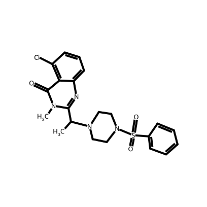 CC(c1nc2cccc(Cl)c2c(=O)n1C)N1CCN(S(=O)(=O)c2ccccc2)CC1